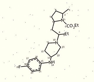 CCOC(=O)N1C(C)CCC1CC(CC)N1CCC(Nc2ccc(F)cc2)CC1